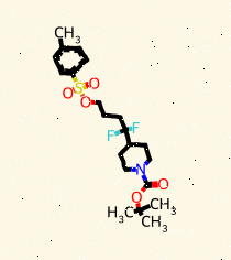 Cc1ccc(S(=O)(=O)OCCCC(F)(F)C2CCN(C(=O)OC(C)(C)C)CC2)cc1